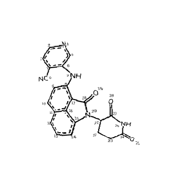 N#Cc1ccncc1Nc1ccc2cccc3c2c1C(=O)N3C1CCC(=O)NC1=O